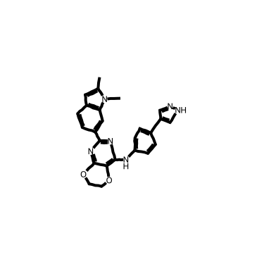 Cc1cc2ccc(-c3nc(Nc4ccc(-c5cn[nH]c5)cc4)c4c(n3)OCCO4)cc2n1C